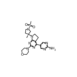 C[C@@]1(N2CCc3c(-c4cnc(N)nc4)nc(N4CCOCC4)nc32)CCN(S(C)(=O)=O)C1